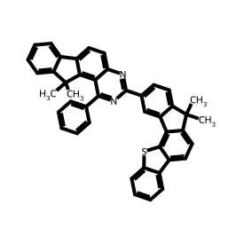 CC1(C)c2ccc(-c3nc(-c4ccccc4)c4c5c(ccc4n3)-c3ccccc3C5(C)C)cc2-c2c1ccc1c2sc2ccccc21